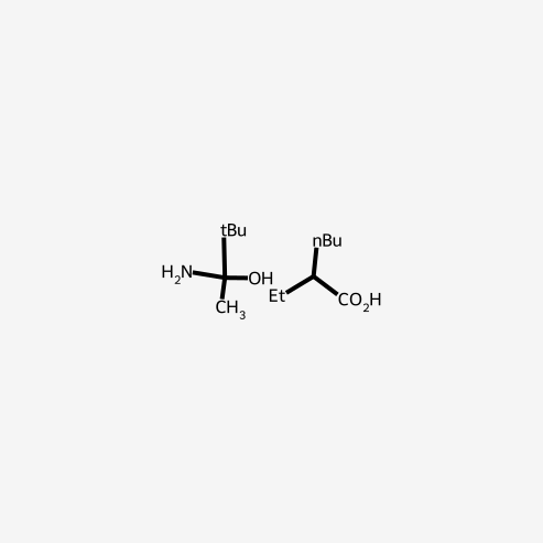 CC(C)(C)C(C)(N)O.CCCCC(CC)C(=O)O